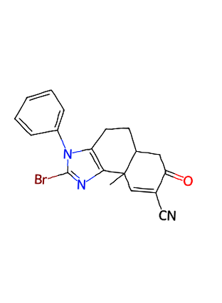 CC12C=C(C#N)C(=O)CC1CCc1c2nc(Br)n1-c1ccccc1